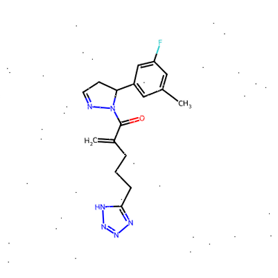 C=C(CCCc1nnn[nH]1)C(=O)N1N=CCC1c1cc(C)cc(F)c1